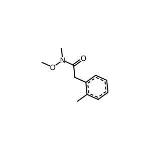 CON(C)C(=O)Cc1ccccc1C